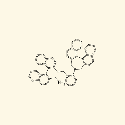 PCc1ccc2ccccc2c1-c1c(CCc2ccccc2P2Cc3ccc4ccccc4c3-c3c(ccc4ccccc34)C2)ccc2ccccc12